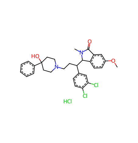 COc1ccc2c(c1)C(=O)N(C)C2C(CCN1CCC(O)(c2ccccc2)CC1)c1ccc(Cl)c(Cl)c1.Cl